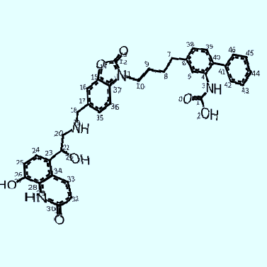 O=C(O)Nc1cc(CCCCn2c(=O)oc3cc(CNCC(O)c4ccc(O)c5[nH]c(=O)ccc45)ccc32)ccc1-c1ccccc1